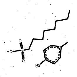 CCCCCCCCS(=O)(=O)O.Cc1ccc(S)cc1